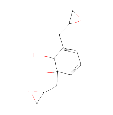 OC1C(CC2CO2)=CC=CC1(O)CC1CO1